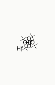 CC(C)(C)[O][Hf]([O]C(C)(C)C)([O]C(C)(C)C)[O]C(C)(C)C.[Hf]